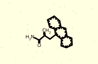 C=C(Cc1c2ccccc2cc2ccccc12)C(N)=O